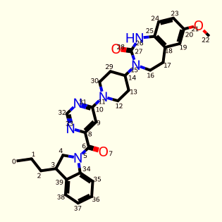 CCCC1CN(C(=O)c2cc(N3CCC(N4CCc5cc(OC)ccc5NC4=O)CC3)ncn2)c2ccccc21